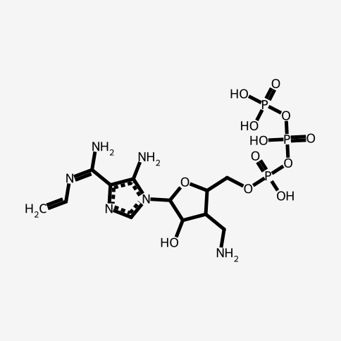 C=C/N=C(/N)c1ncn(C2OC(COP(=O)(O)OP(=O)(O)OP(=O)(O)O)C(CN)C2O)c1N